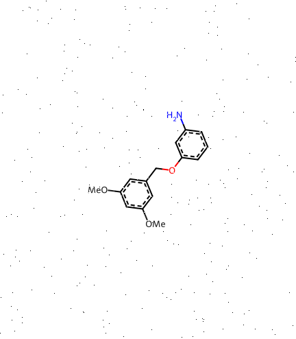 COc1cc(COc2cccc(N)c2)cc(OC)c1